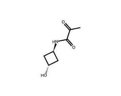 CC(=O)C(=O)N[C@H]1C[C@H](O)C1